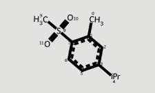 Cc1cc(C(C)C)ccc1S(C)(=O)=O